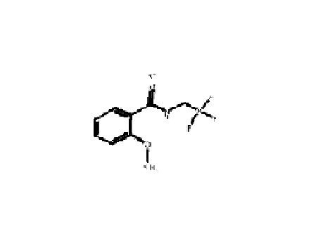 COc1ccccc1C(=O)NC[B-](F)(F)F.[K+]